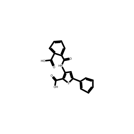 O=C(O)c1ccccc1C(=O)Nc1cc(-c2ccccc2)sc1C(=O)O